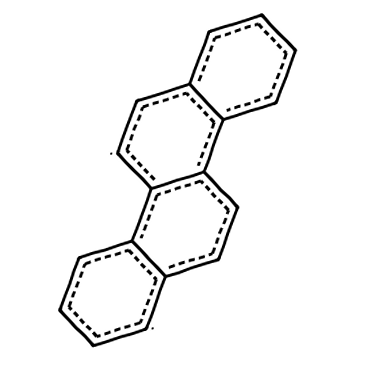 [c]1cccc2c1ccc1c2[c]cc2ccccc21